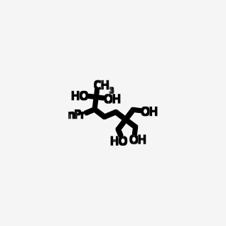 CCCC(CCC(CO)(CO)CO)C(C)(O)O